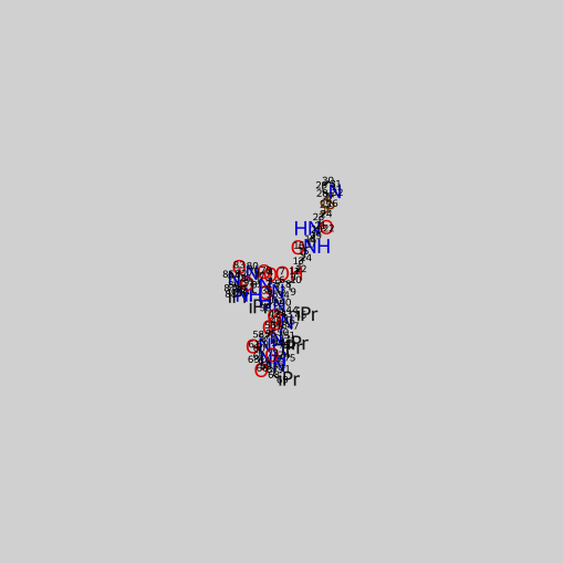 CC[C@H](NC(=O)[C@H]([C@H](O)[C@H](C)C/C=C/CCC(=O)NCCNC(=O)CCSSc1ccccn1)N(C)C(=O)[C@H](C(C)C)N(C)C(=O)[C@H](CC(C)C)N(C)C(=O)[C@H](CC(C)C)N(C)C(=O)[C@@H](C)NC(=O)[C@H](C)NC(=O)[C@H](CC(C)C)N(C)C(=O)C(C)C(C)C)C(=O)N(C)CC(=O)N(C)[C@@H](CC(C)C)C(N)=O